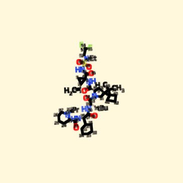 C=C[C@@H]1C[C@]1(NC(=O)[C@@H]1C[C@@]2(CN1C(=O)[C@@H](NC(=O)[C@@H](NC(=O)[C@@H]1CCCCN1C(C)C)C1CCCCC1)C(C)(C)C)C(C)(C)C21CCC1)C(=O)NS(=O)(=O)N(CC)CC(F)F